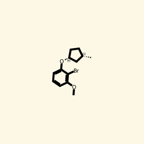 COc1cccc(O[C@@H]2CC[C@H](C)C2)c1Br